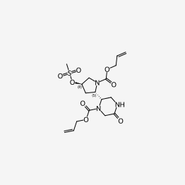 C=CCOC(=O)N1CC(=O)NCC1[C@@H]1C[C@@H](OS(C)(=O)=O)CN1C(=O)OCC=C